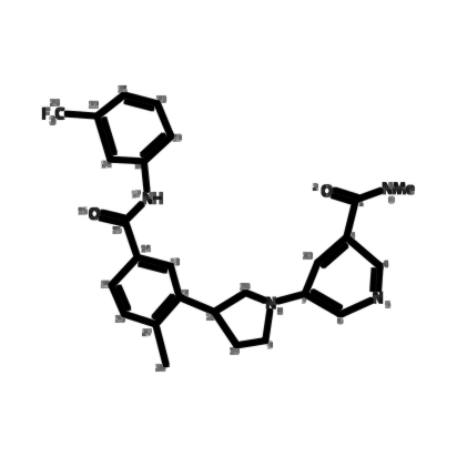 CNC(=O)c1cncc(N2CCC(c3cc(C(=O)Nc4cccc(C(F)(F)F)c4)ccc3C)C2)c1